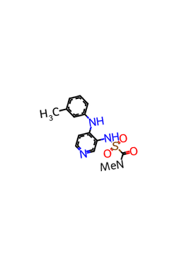 CNC(=O)S(=O)(=O)Nc1cnccc1Nc1cccc(C)c1